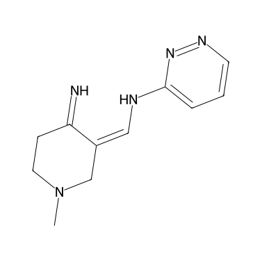 CN1CCC(=N)/C(=C\Nc2cccnn2)C1